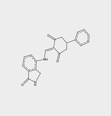 O=C1CC(c2ccccc2)CC(=O)C1=CNc1cccc2c1CNC2=O